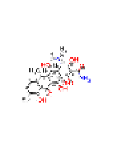 CCc1ccc2c(c1O)C(=O)C1=C(O)C3(O)C(=O)C(C(N)=O)=C(O)[C@@H](N(C)C)[C@@H]3[C@@H](O)[C@@H]1[C@H]2C